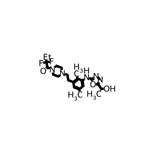 CCC(F)(F)C(=O)N1CCN(CCc2cc(C)cc(Nc3nnc([C@@H](C)O)o3)c2C)CC1